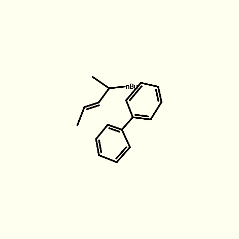 CC=CC(C)CCCC.c1ccc(-c2ccccc2)cc1